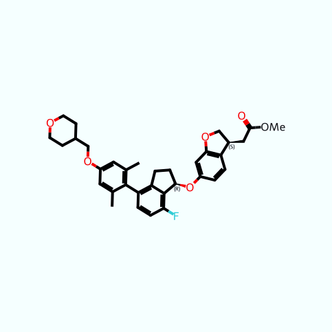 COC(=O)C[C@@H]1COc2cc(O[C@@H]3CCc4c(-c5c(C)cc(OCC6CCOCC6)cc5C)ccc(F)c43)ccc21